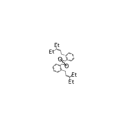 CCC(=CCc1ccccc1S(=O)(=O)c1ccccc1CC=C(CC)CC)CC